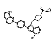 O=C(C1CC1)N1CCC(Cn2c(-c3ccc(-c4ccc5cc[nH]c5c4)cc3)nc3c(Br)cccc32)C1